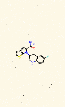 NC(=O)c1cc2ccsc2n1C1CNc2ccc(F)cc2C1